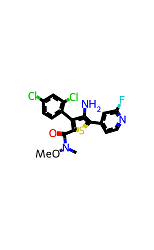 CON(C)C(=O)c1sc(-c2ccnc(F)c2)c(N)c1-c1ccc(Cl)cc1Cl